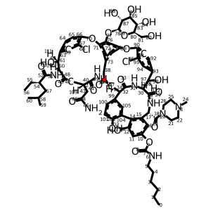 CCCCCCNC(=O)Oc1cc(O)c2c(c1)[C@@H](C(=O)N1CCN(C)CC1)NC(=O)[C@H]1NC(=O)[C@H](CC(=O)[C@@H]3NC(=O)[C@H](CC(N)=O)CC(=O)[C@H](NC(=O)[C@H](CC)CC(C)C)[C@H](O)c4ccc(c(Cl)c4)Oc4cc3cc(c4O[C@@H]3O[C@H](CO)[C@@H](O)[C@H](O)[C@H]3O)Oc3ccc(cc3Cl)[C@H]1O)c1ccc(O)c-2c1